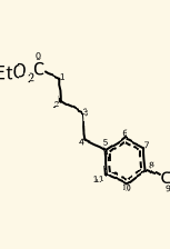 CCOC(=O)CCCCc1ccc(Cl)cc1